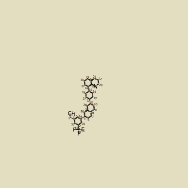 CCc1cc(-c2ccc3ccc(-c4ccc(-c5cccc6cccnc56)cc4)cc3c2)cc(C(F)(F)F)c1